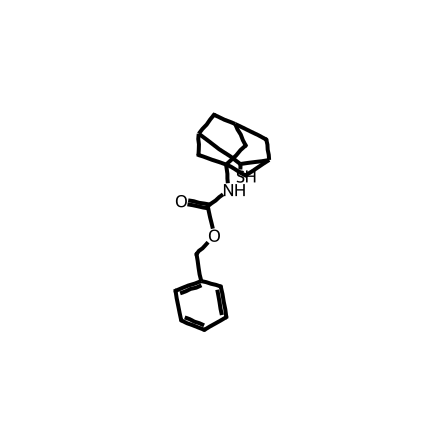 O=C(NC12CC3CC(C1)C(S)C(C3)C2)OCc1ccccc1